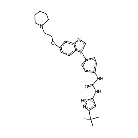 CC(C)(C)c1cc(NC(=O)Nc2ccc(-n3cnc4cc(OCCN5CCCCC5)ccc43)cc2)[nH]n1